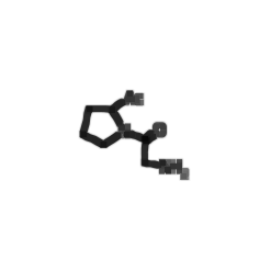 CC(=O)C1CCCN1C(=O)CN